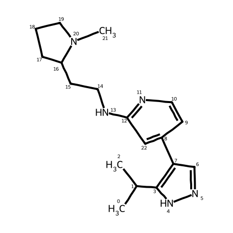 CC(C)c1[nH]ncc1-c1ccnc(NCCC2CCCN2C)c1